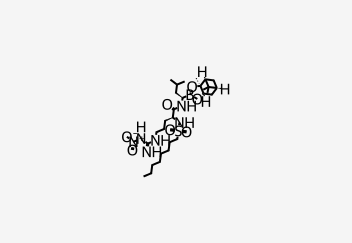 CCCCCCCCS(=O)(=O)N[C@@H](CCCNC(=N)N[N+](=O)[O-])C(=O)N[C@@H](CC(C)C)B1O[C@@H]2C[C@@H]3C[C@@H](C3(C)C)[C@]2(C)O1